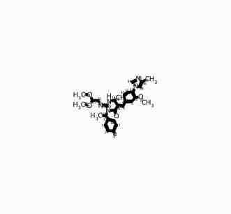 COc1cc(/C=C2/C(=O)N(C(C)c3ccc(F)cc3)/C(=N/CC(OC)OC)NC2C)ccc1-n1cnc(C)c1